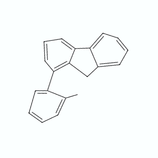 Cc1ccccc1-c1cccc2c1Cc1ccccc1-2